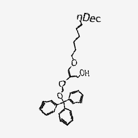 CCCCCCCCCCCCCCCCOCC(CO)OCOC(c1ccccc1)(c1ccccc1)c1ccccc1